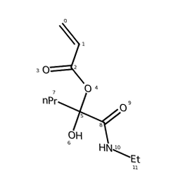 C=CC(=O)OC(O)(CCC)C(=O)NCC